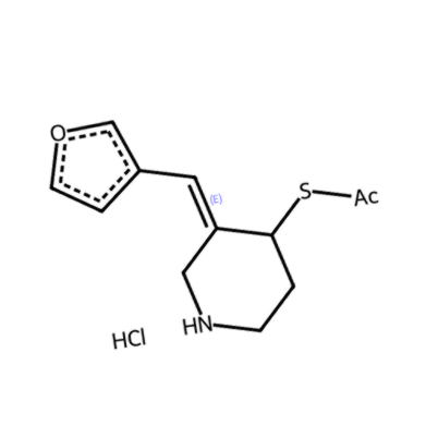 CC(=O)SC1CCNC/C1=C\c1ccoc1.Cl